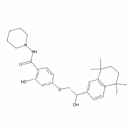 CC1(C)CCC(C)(C)c2cc(C(O)COc3ccc(C(=O)NN4CCCCC4)c(O)c3)ccc21